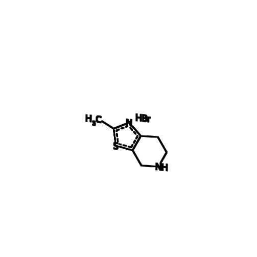 Br.Cc1nc2c(s1)CNCC2